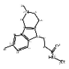 CCNC(=O)CCn1c2c(c3cc(C)ccc31)CN(C)CC2